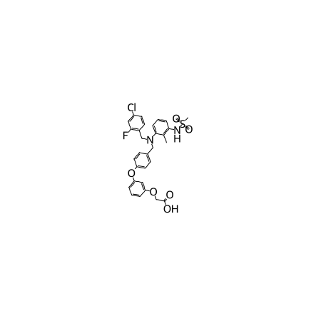 Cc1c(NS(C)(=O)=O)cccc1N(Cc1ccc(Oc2cccc(OCC(=O)O)c2)cc1)Cc1ccc(Cl)cc1F